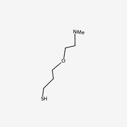 CNCCOCCCS